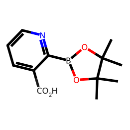 CC1(C)OB(c2ncccc2C(=O)O)OC1(C)C